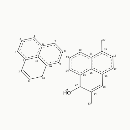 C1=Cc2cccc3cccc(c23)C1.CC1=Cc2ccc(C)c3cccc(c23)C1O